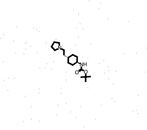 CC(C)(C)OC(=O)N[C@H]1CC[C@H](CCN2CCCC2)CC1